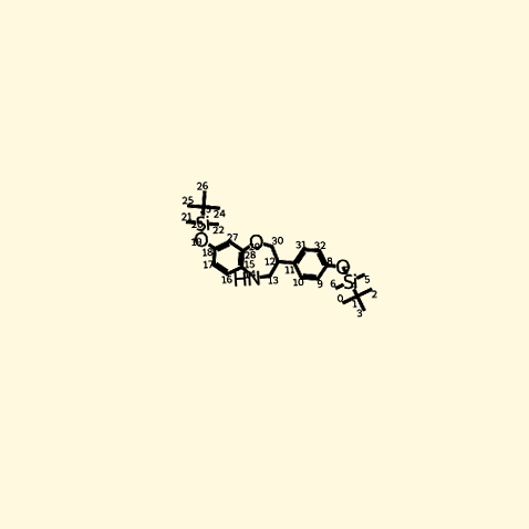 CC(C)(C)[Si](C)(C)Oc1ccc(C2CNc3ccc(O[Si](C)(C)C(C)(C)C)cc3OC2)cc1